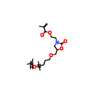 C=C(C)C(=O)OCCN1CC(COCCC[Si](C)(C)O[SiH](C)C)OC1=O